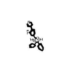 O=C(N[C@H](c1ccccc1)[C@@H](O)c1ccccc1)c1ccc(-c2ccncc2)c(F)c1